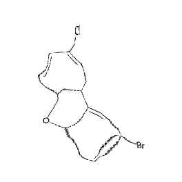 ClC1=CC2C3=CC(Br)=CCC3OC2C=C1